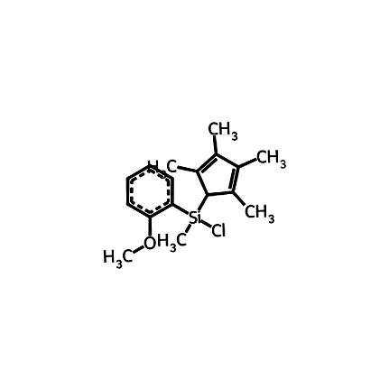 COc1ccccc1[Si](C)(Cl)C1C(C)=C(C)C(C)=C1C